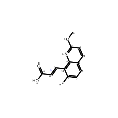 COc1ccc2ccc(F)c(/C=C/C(=O)O)c2n1